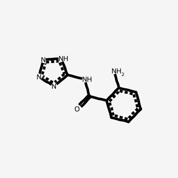 Nc1ccccc1C(=O)Nc1nnn[nH]1